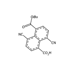 CC(C)COC(=O)c1ccc(C#N)c2c(C(=O)O)ccc(C#N)c12